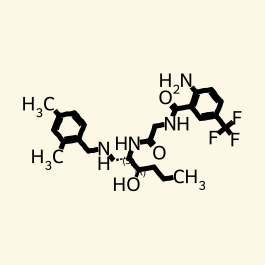 CCC[C@@H](O)[C@H](CNCc1ccc(C)cc1C)NC(=O)CNC(=O)c1cc(C(F)(F)F)ccc1N